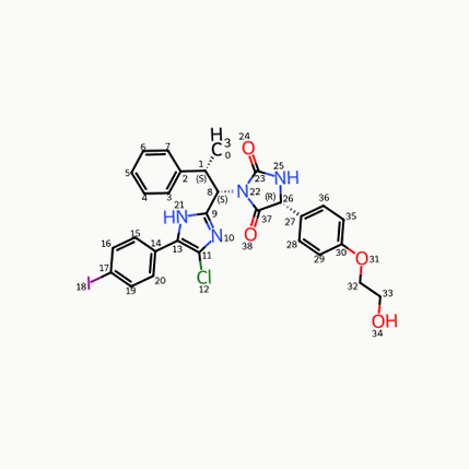 C[C@@H](c1ccccc1)[C@@H](c1nc(Cl)c(-c2ccc(I)cc2)[nH]1)N1C(=O)N[C@H](c2ccc(OCCO)cc2)C1=O